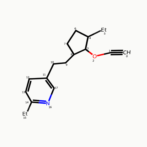 C#COC1C(CC)CCC1CCc1ccc(CC)nc1